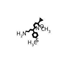 COc1nc(C(=CCCN)c2ccc(SC)cc2)ccc1C1CC1